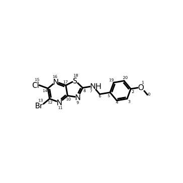 COc1ccc(CNc2nc3nc(Br)c(Cl)nc3s2)cc1